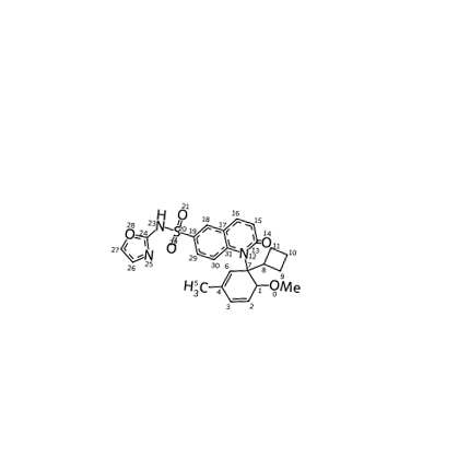 COC1C=CC(C)=CC1(C1CCC1)n1c(=O)ccc2cc(S(=O)(=O)Nc3ncco3)ccc21